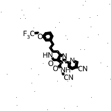 N#CCNC(=O)c1c2c(nn1-c1ccc(C#N)cn1)CC(CCc1cccc(OCC(F)(F)F)c1)NC2=O